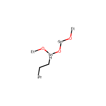 CC[O][Sn][O][SnH]([CH2]CC(C)C)[O]CC